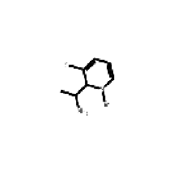 CC(N)C1C(Cl)=CC=CN1Br